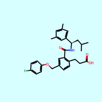 Cc1cc(C)cc([C@@H](CC(C)C)NC(=O)c2cc(COc3ccc(F)cc3)ccc2CCC(=O)O)c1